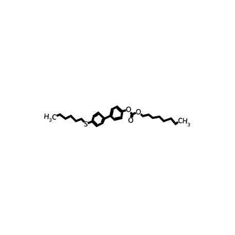 CCCCCCCCOC(=O)Oc1ccc(-c2ccc(SCCCCCC)cc2)cc1